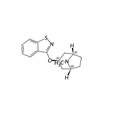 CN1[C@@H]2CC[C@H]1C[C@H](Oc1nsc3ccccc13)C2